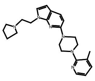 Cc1cccnc1N1CCN(c2ccc3ccn(CCN4CCCC4)c3n2)CC1